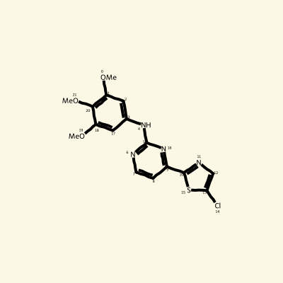 COc1cc(Nc2nccc(-c3ncc(Cl)s3)n2)cc(OC)c1OC